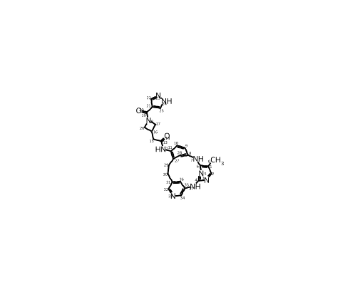 Cc1cnc2nc1Nc1ccc(NC(=O)CC3CN(C(=O)c4cn[nH]c4)C3)c(c1)CCc1cncc(c1)N2